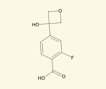 O=C(O)c1ccc(C2(O)COC2)cc1F